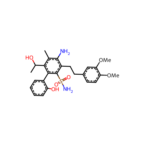 COc1ccc(CCc2c(N)c(C)c(C(C)O)c(-c3ccccc3O)c2S(N)(=O)=O)cc1OC